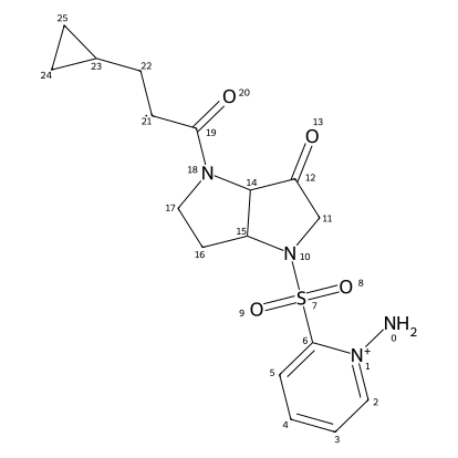 N[n+]1ccccc1S(=O)(=O)N1CC(=O)C2C1CCN2C(=O)[CH]CC1CC1